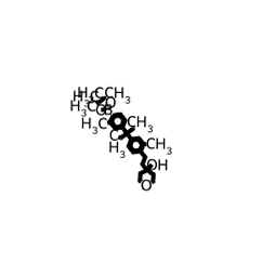 CCC(CC)(c1ccc(CCC2(O)CCOCC2)c(C)c1)c1ccc(B2OC(C)(C)C(C)(C)O2)c(C)c1